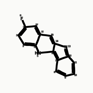 Fc1ccc2[nH]c3c4ccccc4nc-3cc2c1